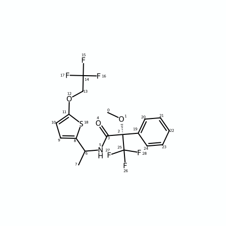 CO[C@](C(=O)NC(C)c1ccc(OCC(F)(F)F)s1)(c1ccccc1)C(F)(F)F